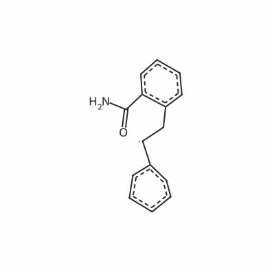 NC(=O)c1ccccc1C[CH]c1ccccc1